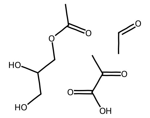 CC(=O)C(=O)O.CC(=O)OCC(O)CO.CC=O